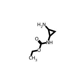 CCOC(=O)NC1CC1N